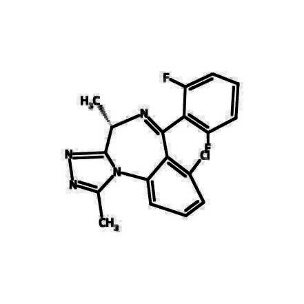 Cc1nnc2n1-c1cccc(Cl)c1C(c1c(F)cccc1F)=N[C@H]2C